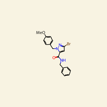 COc1ccc(Cn2nc(Br)cc2C(=O)NCc2ccccc2)cc1